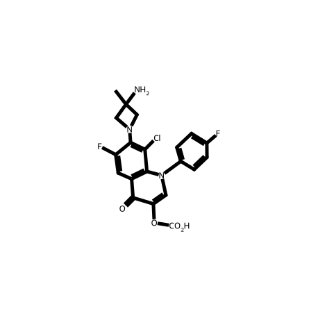 CC1(N)CN(c2c(F)cc3c(=O)c(OC(=O)O)cn(-c4ccc(F)cc4)c3c2Cl)C1